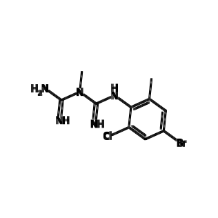 Cc1cc(Br)cc(Cl)c1NC(=N)N(C)C(=N)N